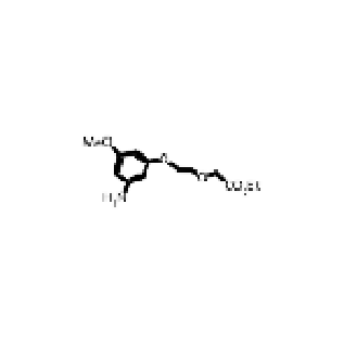 CCOC(=O)COCCOc1cc(N)cc(OC)c1